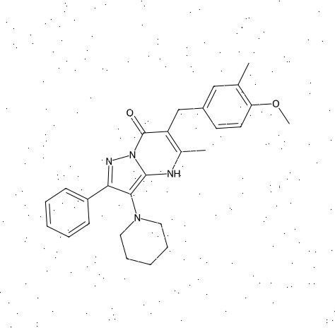 COc1ccc(Cc2c(C)[nH]c3c(N4CCCCC4)c(-c4ccccc4)nn3c2=O)cc1C